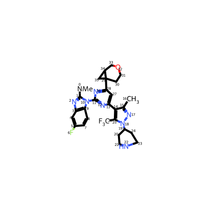 CNc1nc2cc(F)ccc2n1-c1nc(-c2c(C)nn(C3CCNCC3)c2C(F)(F)F)cc(C23CCOCC2C3)n1